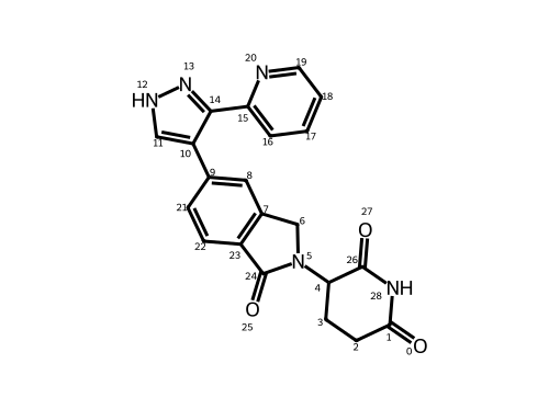 O=C1CCC(N2Cc3cc(-c4c[nH]nc4-c4ccccn4)ccc3C2=O)C(=O)N1